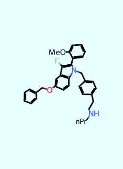 CCCNCCc1ccc(Cn2c(-c3ccccc3OC)c(F)c3cc(OCc4ccccc4)ccc32)cc1